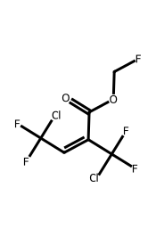 O=C(OCF)C(=CC(F)(F)Cl)C(F)(F)Cl